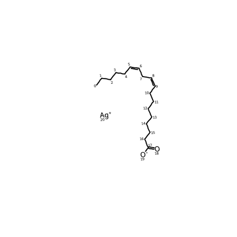 CCCCC/C=C\C/C=C\CCCCCCCC(=O)[O-].[Ag+]